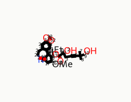 CC[C@](O)(CC#CC(C)(C)CO)C(=O)O[C@@H]1C(OC)=C[C@]23CCCN2CCc2cc4c(cc2[C@H]13)OCO4